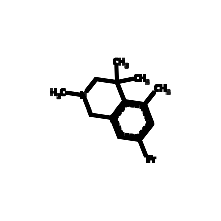 Cc1cc(C(C)C)cc2c1C(C)(C)CN(C)C2